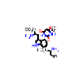 CC(=O)[O-].CC(C)CC(N)C(=O)O.NC(Cc1c[nH]c2ccccc12)C(=O)O.O=c1cc[nH]c(=O)[nH]1.[K+]